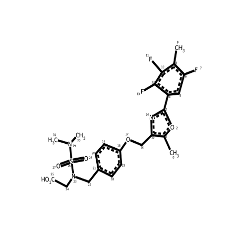 Cc1oc(-c2cc(F)c(C)c(F)c2F)nc1COc1ccc(CN(CC(=O)O)S(=O)(=O)N(C)C)cc1